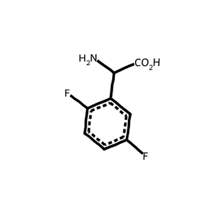 NC(C(=O)O)c1cc(F)ccc1F